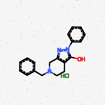 Cl.Oc1c2c(nn1-c1ccccc1)CN(Cc1ccccc1)CC2